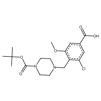 COc1cc(C(=O)O)cc(Cl)c1CN1CCN(C(=O)OC(C)(C)C)CC1